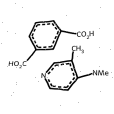 CNc1ccncc1C.O=C(O)c1cccc(C(=O)O)c1